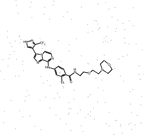 CCc1cc(Nc2nccn3c(-c4c[nH]nc4C(F)(F)F)cnc23)ccc1C(=O)NCCOCCN1CCOCC1